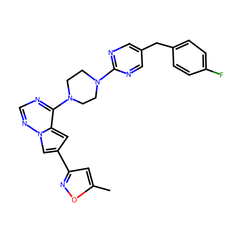 Cc1cc(-c2cc3c(N4CCN(c5ncc(Cc6ccc(F)cc6)cn5)CC4)ncnn3c2)no1